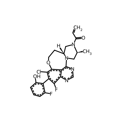 C=CC(=O)N1C[C@H]2CCOc3c(Cl)c(-c4c(O)cccc4F)c(F)c4ncnc(c34)N2C[C@@H]1C